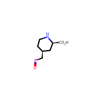 O=PC[C@H]1CCN[C@@H](C(=O)O)C1